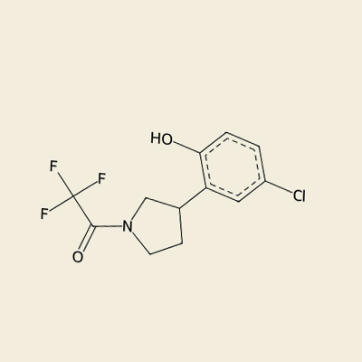 O=C(N1CCC(c2cc(Cl)ccc2O)C1)C(F)(F)F